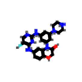 O=C1COc2ccc(Nc3nc(Nc4cccc(N5CCNCC5)c4)ncc3F)cc2N1